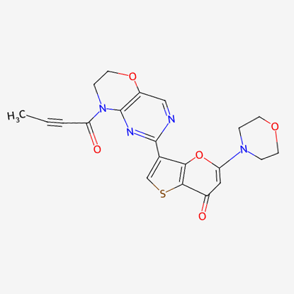 CC#CC(=O)N1CCOc2cnc(-c3csc4c(=O)cc(N5CCOCC5)oc34)nc21